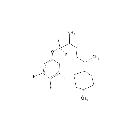 CC1CCC(C(C)CCC(C)C(F)(F)Oc2cc(F)c(F)c(F)c2)CC1